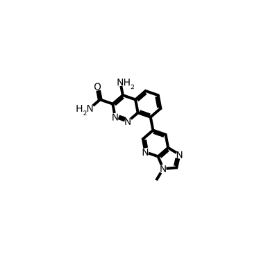 Cn1cnc2cc(-c3cccc4c(N)c(C(N)=O)nnc34)cnc21